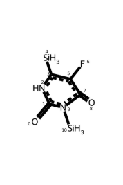 O=c1[nH]c([SiH3])c(F)c(=O)n1[SiH3]